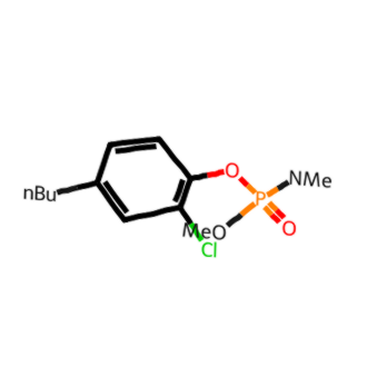 CCCCc1ccc(OP(=O)(NC)OC)c(Cl)c1